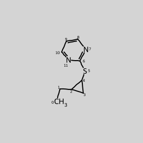 CCC1CC1Sc1ncccn1